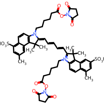 Cc1cc(S(=O)(=O)O)c2ccc3c(c2c1)C(C)(C)\C(=C/C=C/C=C/C1=[N+](CCCCCC(=O)ON2C(=O)CCC2=O)c2ccc4c(C)cc(S(=O)(=O)O)cc4c2C1(C)C)N3CCCCCC(=O)ON1C(=O)CCC1=O